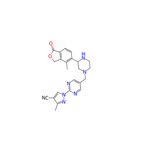 Cc1nn(-c2ncc(CN3CCNC(c4ccc5c(c4C)COC5=O)C3)cn2)cc1C#N